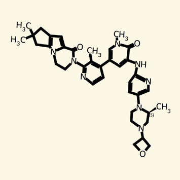 Cc1c(-c2cc(Nc3ccc(N4CCN(C5COC5)C[C@@H]4C)cn3)c(=O)n(C)c2)ccnc1N1CCn2c(cc3c2CC(C)(C)C3)C1=O